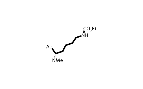 CCOC(=O)NCCCC[C@H](NC)C(C)=O